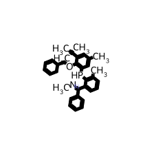 C/N=C(\c1ccccc1)c1cccc(C)c1Pc1cc(C)cc(C(C)(C)C)c1OCC1C=CC=CC1